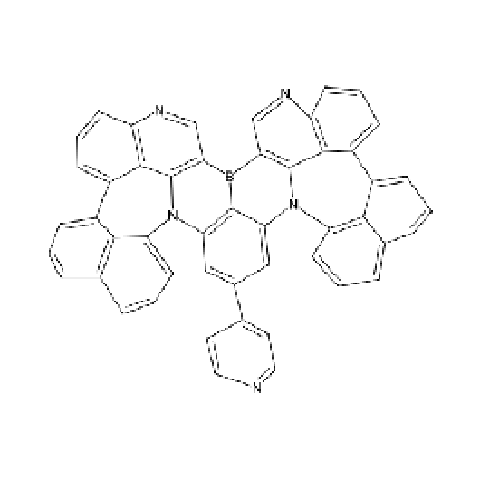 c1cc2cccc3c2c(c1)c1cccc2ncc4c(c21)n3-c1cc(-c2ccncc2)cc2c1B4c1cnc3cccc4c5cccc6cccc(c65)n-2c1c34